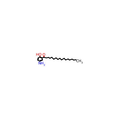 CCCCCCCCCCCCCCCCCC(=O)c1cc(N)ccc1O